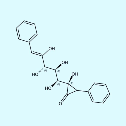 O=C1C(c2ccccc2)[C@@]1(O)[C@@H](O)[C@H](O)[C@H](O)C(O)=Cc1ccccc1